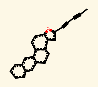 CC#CC#Cc1cc2c(ccc3c4cc5ccccc5cc4ccc23)o1